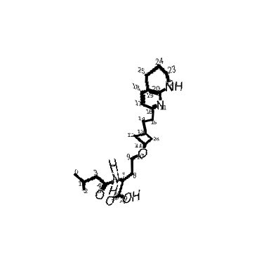 CC(C)CC(=O)NC(CCOC1CC(CCc2ccc3c(n2)NCCC3)C1)C(O)O